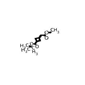 CCOC(=O)C=C1CC(C(=O)OC(C)(C)C)C1